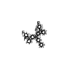 Fc1ccc(-n2c3ccccc3c3cc(N(c4ccc(-c5ccccc5)cc4)c4ccc5c(c4)c4ccccc4n5-c4ccc(F)cc4F)ccc32)c(F)c1